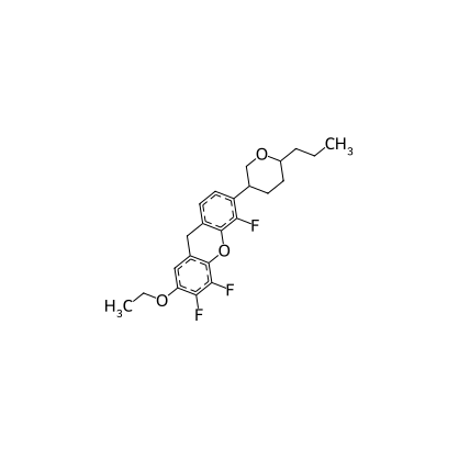 CCCC1CCC(c2ccc3c(c2F)Oc2c(cc(OCC)c(F)c2F)C3)CO1